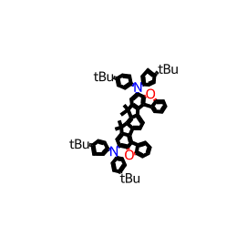 CC(C)(C)c1ccc(N(c2ccc(C(C)(C)C)cc2)c2cc3c(c4c2oc2ccccc24)-c2ccc4c(c2C3(C)C)C(C)(C)c2cc(N(c3ccc(C(C)(C)C)cc3)c3ccc(C(C)(C)C)cc3)c3oc5ccccc5c3c2-4)cc1